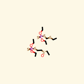 CCOP(=S)(OCC)SCC[S+]([O-])CC.CCOP(=S)(OCC)SCSCC